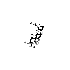 CC(=O)COc1ncccc1Oc1nc(N2C(=O)CC(O)(C(F)(F)F)NC2=O)c(F)cc1Cl